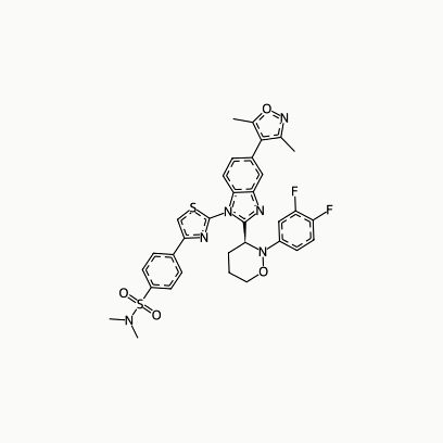 Cc1noc(C)c1-c1ccc2c(c1)nc([C@@H]1CCCON1c1ccc(F)c(F)c1)n2-c1nc(-c2ccc(S(=O)(=O)N(C)C)cc2)cs1